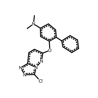 CN(C)c1ccc(-c2ccccc2)c(Oc2ccc3nnc(Cl)n3n2)c1